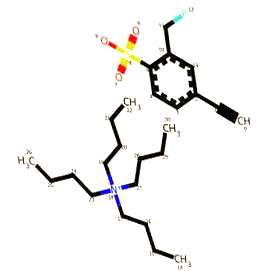 C#Cc1ccc(S(=O)(=O)[O-])c(CF)c1.CCCC[N+](CCCC)(CCCC)CCCC